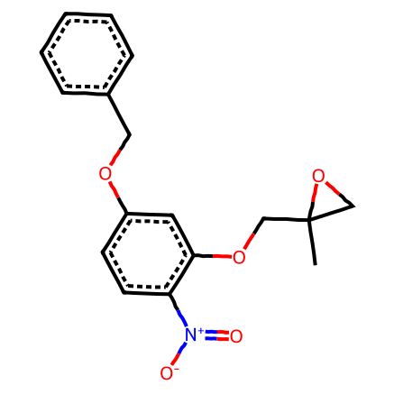 CC1(COc2cc(OCc3ccccc3)ccc2[N+](=O)[O-])CO1